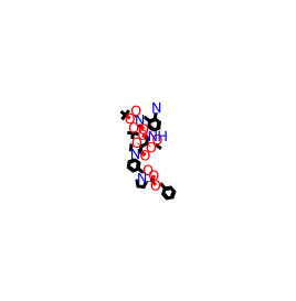 CC(=O)O[C@@H](C(=O)Nc1ccc(C#N)c(CN(C(=O)OC(C)(C)C)C(=O)OC(C)(C)C)c1)[C@H]1OCCN(c2cccc(C(=O)N3CCC[C@H]3C(=O)OCc3ccccc3)c2)C1=O